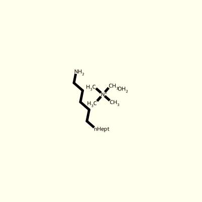 CCCCCCCCCCCCN.C[N+](C)(C)C.O